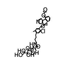 Cc1cc(COC2(c3cnccc3-c3ccccc3OC3COC3)CC2)c(Cl)cc1CCCCNC(=O)N(C)CC(O)C(O)C(O)C(O)CO